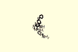 N=C(c1ccc(Oc2ccccc2)cc1)c1c(N)ncnc1NC1CCCN(SN)C1